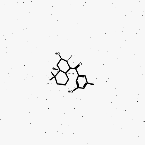 Cc1cc(O)cc(C(=O)C2[C@@H](C)[C@H](O)C[C@H]3C(C)(C)CCC[C@]23C)c1